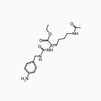 CCOC(=O)[C@@H](CCCCNC(C)=O)NC(=O)NCc1ccc(N)cc1